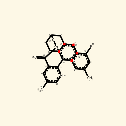 Cc1cnc(OC2CC3CCC2N(C(=O)c2cc(C)cnc2-c2ncccn2)C3)c(F)c1